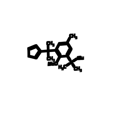 COc1c(C(C)(C)C2=CCC=C2)cc(C)cc1[Si](C)(C)C(C)(C)C